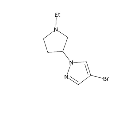 CCN1CCC(n2cc(Br)cn2)C1